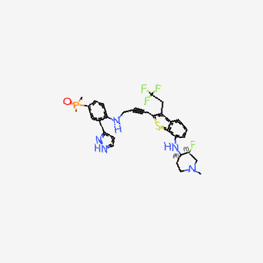 CN1CC[C@@H](Nc2cccc3c(CC(F)(F)F)c(C#CCNc4ccc(P(C)(C)=O)cc4-c4cc[nH]n4)sc23)[C@@H](F)C1